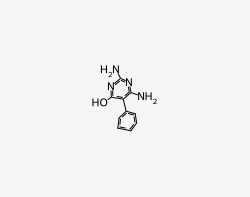 Nc1nc(N)c(-c2ccccc2)c(O)n1